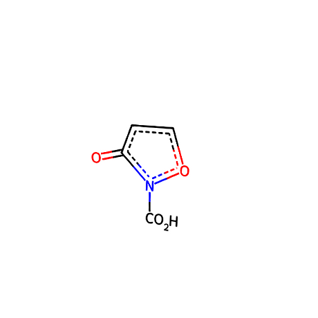 O=C(O)n1occc1=O